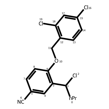 CCCC(Cl)c1cc(C#N)ccc1OCc1ccc(Cl)cc1Cl